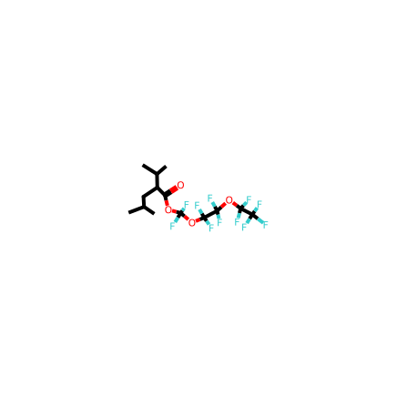 CC(C)CC(C(=O)OC(F)(F)OC(F)(F)C(F)(F)OC(F)(F)C(F)(F)F)C(C)C